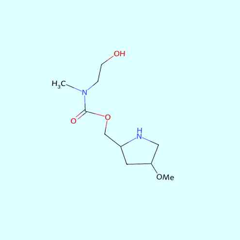 COC1CNC(COC(=O)N(C)CCO)C1